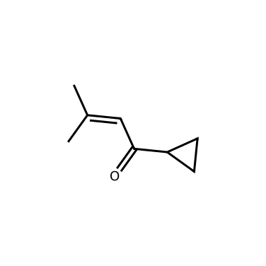 CC(C)=CC(=O)C1CC1